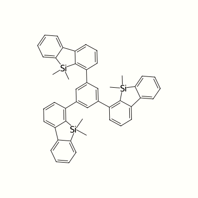 C[Si]1(C)c2ccccc2-c2cccc(-c3cc(-c4cccc5c4[Si](C)(C)c4ccccc4-5)cc(-c4cccc5c4[Si](C)(C)c4ccccc4-5)c3)c21